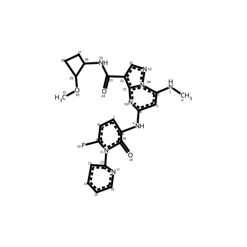 CNc1cc(Nc2ccc(F)n(-c3ccccn3)c2=O)nc2c(C(=O)NC3CCC3OC)cnn12